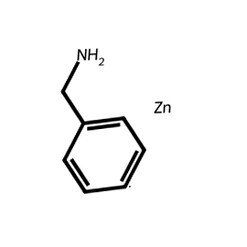 NCc1cc[c]cc1.[Zn]